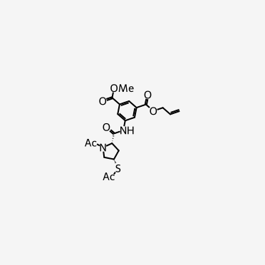 C=CCOC(=O)c1cc(NC(=O)[C@@H]2C[C@H](SC(C)=O)CN2C(C)=O)cc(C(=O)OC)c1